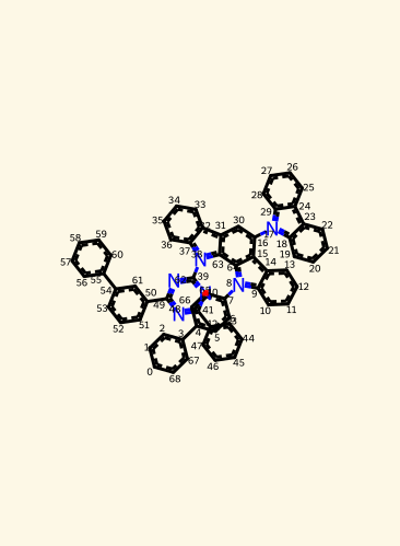 c1ccc(-c2ccc(-n3c4ccccc4c4c(-n5c6ccccc6c6ccccc65)cc5c6ccccc6n(-c6nc(-c7ccccc7)nc(-c7cccc(-c8ccccc8)c7)n6)c5c43)cc2)cc1